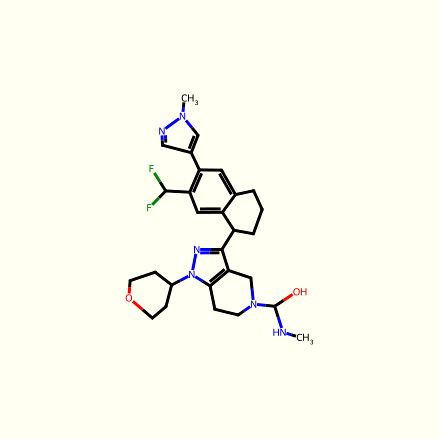 CNC(O)N1CCc2c(c(C3CCCc4cc(-c5cnn(C)c5)c(C(F)F)cc43)nn2C2CCOCC2)C1